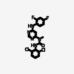 CN(C(=O)Nc1c(Cl)cccc1Cl)c1cc(Nc2ccc(F)cc2F)ncn1